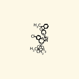 CC1OC2(CCN(c3nnc4n3-c3ccc(Cl)cc3CN(C(=O)OC(C)(C)C)C4)CC2)C2C=CC=CC12